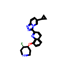 F[C@H]1CCNCC[C@@H]1Oc1cccc2ccc(-c3nnc4ccc(C5CC5)cn34)nc12